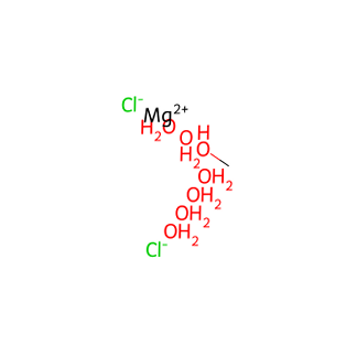 CO.O.O.O.O.O.O.[Cl-].[Cl-].[Mg+2]